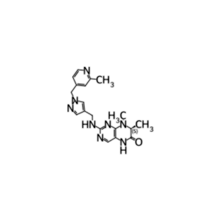 Cc1cc(Cn2cc(CNc3ncc4c(n3)N(C)[C@@H](C)C(=O)N4)cn2)ccn1